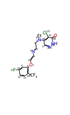 CCN(C/C=N/C=C/Oc1cc(F)ccc1C(F)(F)F)c1cn[nH]c(=O)c1Cl